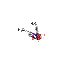 CCCCCCCCCCCCCCOC(=O)N(CCCCCCCCCCCC)[C@@H]1O[C@H](CO)[C@@H](O)[C@H](O)[C@H]1NC(=O)[C@H](C)NC(=O)OCc1ccccc1